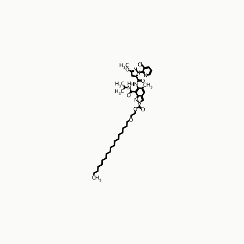 CCCCCCCCCCCCCCCCCCOCCOC(=O)n1cc2cc(C)c(NC(=O)C3CC(OC)=NN3c3ncccc3Cl)c(C(=O)NC(C)C)c2n1